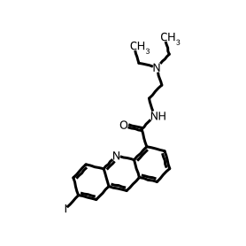 CCN(CC)CCNC(=O)c1cccc2cc3cc(I)ccc3nc12